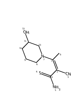 C/C(=C(\C#N)C(N)=S)N1CCCC(O)C1